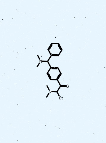 CCC(C(=O)c1ccc(C(c2cc[c]cc2)N(C)C)cc1)N(C)C